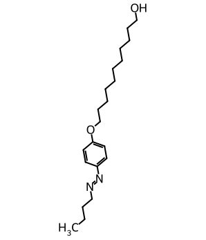 CCCCN=Nc1ccc(OCCCCCCCCCCCO)cc1